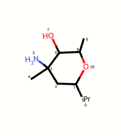 CC(C)C1CC(C)(N)C(O)C(C)O1